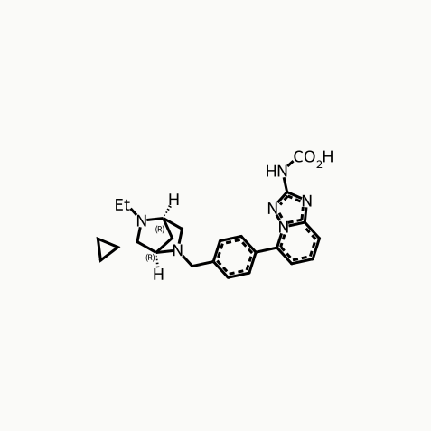 C1CC1.CCN1C[C@H]2C[C@@H]1CN2Cc1ccc(-c2cccc3nc(NC(=O)O)nn23)cc1